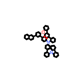 c1cc(-c2ccc(N(c3ccc(-c4ccccc4-n4c5ccccc5c5ccccc54)cc3)c3ccccc3-c3ccc4oc5ccccc5c4c3)cc2)cc(-c2ccc3ccccc3c2)c1